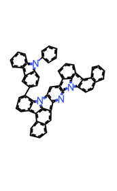 c1ccc(-n2c3ccccc3c3cc(-c4cccc5c6c7ccccc7cc7c8nc9c(cc8n(c45)c76)c4cccc5c6c7ccccc7ccc6n9c45)ccc32)cc1